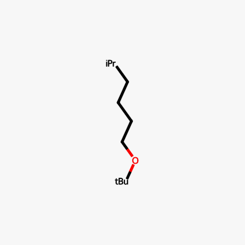 CC(C)CCCCOC(C)(C)C